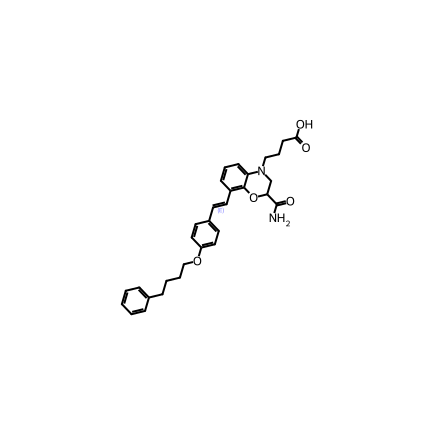 NC(=O)C1CN(CCCC(=O)O)c2cccc(/C=C/c3ccc(OCCCCc4ccccc4)cc3)c2O1